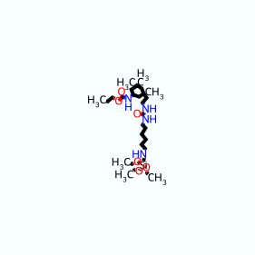 CCCOC(=O)NC1CC(C)(C)CC(C)(CCNC(=O)NCCCCCCNC[Si](OCC)(OCC)OCC)C1